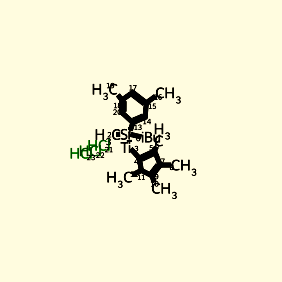 CCC(C)[Si](C)([Ti][C]1=C(C)C(C)=C(C)C1C)c1cc(C)cc(C)c1.Cl.Cl.Cl